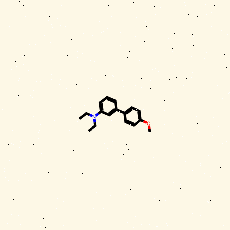 CCN(CC)c1cc[c]c(-c2ccc(OC)cc2)c1